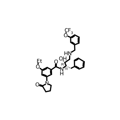 CCOc1cc(C(=O)N[C@@H](Cc2ccccc2)[C@H](O)CNCc2cccc(OC(F)(F)F)c2)cc(N2CCCC2=O)c1